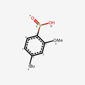 COc1cc(C(C)(C)C)ccc1S(=O)O